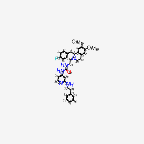 COc1cc2c(cc1OC)C(Cc1ccc(F)cc1)N(CCNC(=O)Nc1ccnc(NCCc3ccccc3)c1)CC2